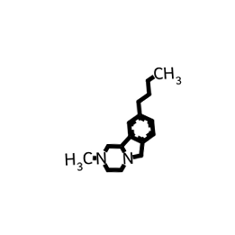 CCCCc1ccc2c(c1)C1CN(C)CCN1C2